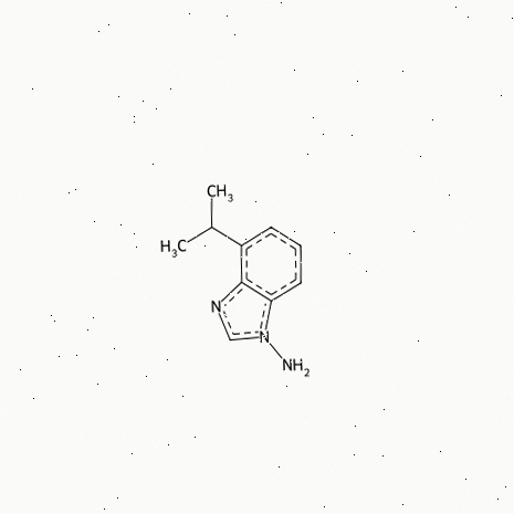 CC(C)c1cccc2c1ncn2N